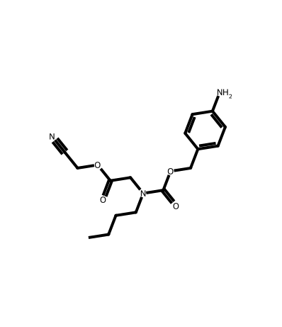 CCCCN(CC(=O)OCC#N)C(=O)OCc1ccc(N)cc1